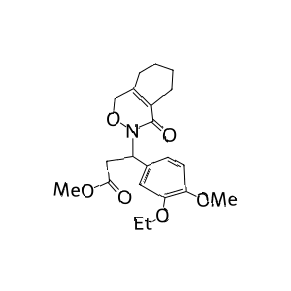 CCOc1cc(C(CC(=O)OC)N2OCC3=C(CCCC3)C2=O)ccc1OC